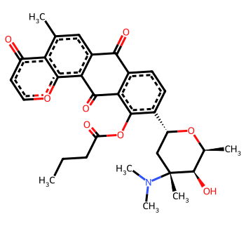 CCCC(=O)Oc1c([C@H]2C[C@@](C)(N(C)C)[C@H](O)[C@H](C)O2)ccc2c1C(=O)c1c(cc(C)c3c(=O)ccoc13)C2=O